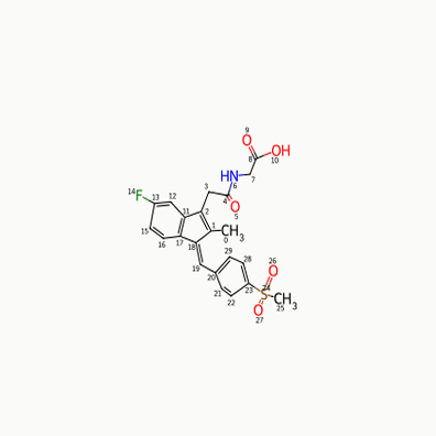 CC1=C(CC(=O)NCC(=O)O)c2cc(F)ccc2C1=Cc1ccc(S(C)(=O)=O)cc1